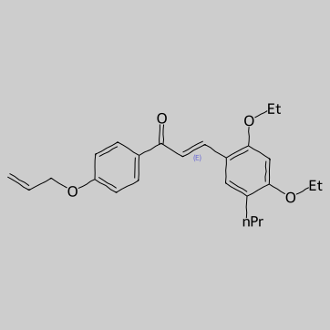 C=CCOc1ccc(C(=O)/C=C/c2cc(CCC)c(OCC)cc2OCC)cc1